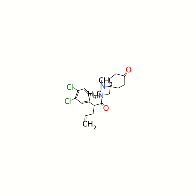 C=CCC(C(=O)NCC1(N(C)C)CCC(=O)CC1)c1ccc(Cl)c(Cl)c1